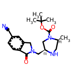 C[C@@H]1CN[C@@H](CN2Cc3cc(C#N)ccc3C2=O)CN1C(=O)OC(C)(C)C